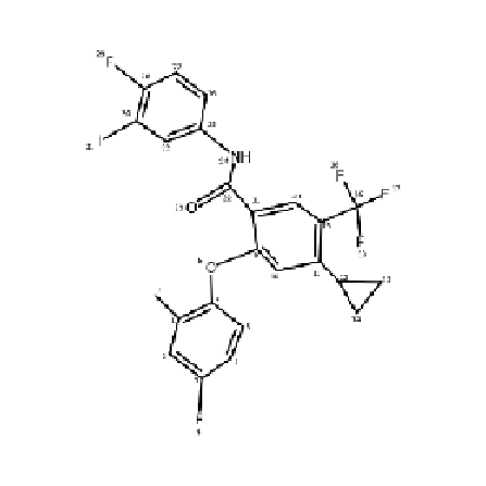 Cc1cc(F)ccc1Oc1cc(C2CC2)c(C(F)(F)F)cc1C(=O)Nc1ccc(F)c(I)c1